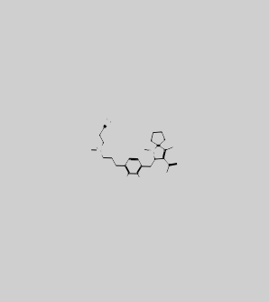 C=C(C)C1=C(C)C2(CCCC2)N(C)C1Cc1ccc(CCCN(C)CCC#N)c(F)c1F